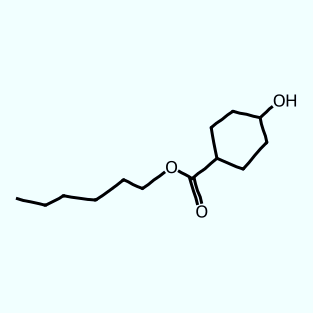 CCCCCCOC(=O)C1CCC(O)CC1